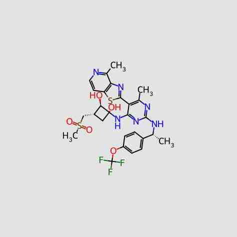 Cc1nc(N[C@H](C)c2ccc(OC(F)(F)F)cc2)nc(N[C@]2(O)C[C@H](CS(C)(=O)=O)[C@H]2O)c1-c1nc2c(C)nccc2s1